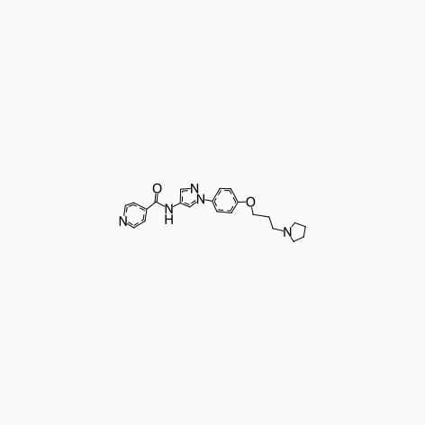 O=C(Nc1cnn(-c2ccc(OCCCN3CCCC3)cc2)c1)c1ccncc1